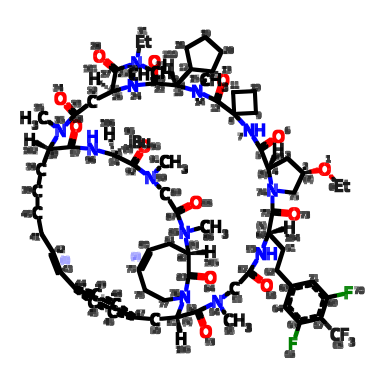 CCO[C@@H]1C[C@H]2C(=O)NC3(CCC3)C(=O)N(C)[C@@H](C3CCCC3)C(=O)N(C)[C@H](C(=O)N(C)CC)CC(=O)N(C)[C@H]3CCCC/C=C/c4ccc(cc4)C[C@@H](C(=O)N(C)CC(=O)N[C@@H](CCc4cc(F)c(C(F)(F)F)c(F)c4)C(=O)N2C1)N1CC/C=C\C[C@@H](C1=O)N(C)C(=O)CN(C)C(=O)[C@H]([C@@H](C)CC)NC3=O